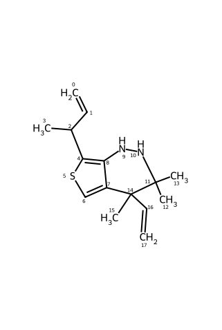 C=CC(C)c1scc2c1NNC(C)(C)C2(C)C=C